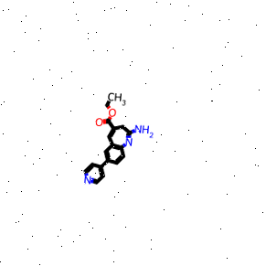 CCOC(=O)C1=Cc2cc(-c3ccncc3)ccc2N=C(N)C1